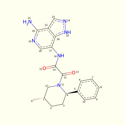 C[C@H]1CC[C@H](c2ccccc2)N(C(=O)C(=O)Nc2cnc(N)c3cn[nH]c23)C1